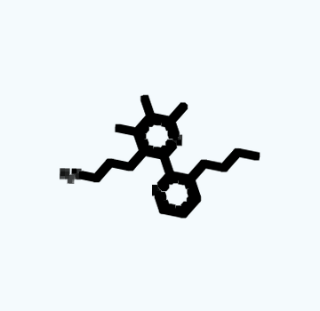 CCCCc1cccnc1-c1nc(C)c(C)c(C)c1CCCN